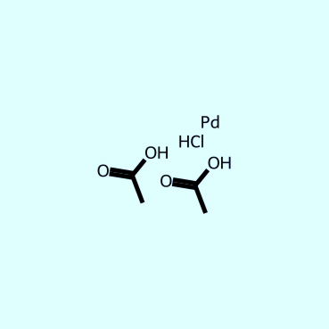 CC(=O)O.CC(=O)O.Cl.[Pd]